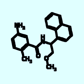 COCC(NC(=O)c1cc(N)ccc1C)c1cccc2ccccc12